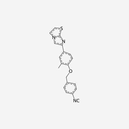 [C-]#[N+]c1ccc(COc2ccc(-c3cn4ccsc4n3)cc2C)cc1